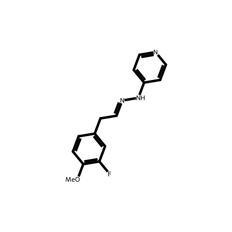 COc1ccc(CC=NNc2ccncc2)cc1F